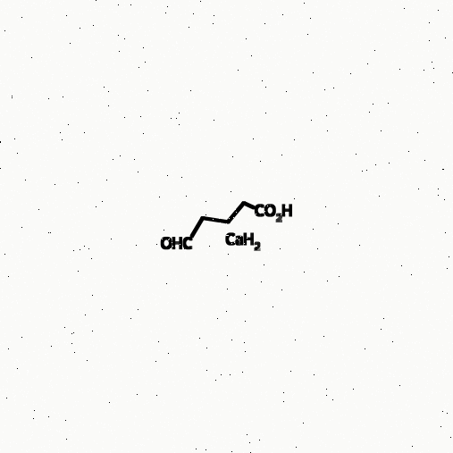 O=CCCCC(=O)O.[CaH2]